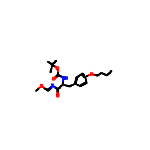 CCCCOc1ccc(C[C@H](NC(=O)OC(C)(C)C)C(=O)N=COC)cc1